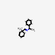 CC(N=CC1(C)C=CC=CC1)c1ccccc1